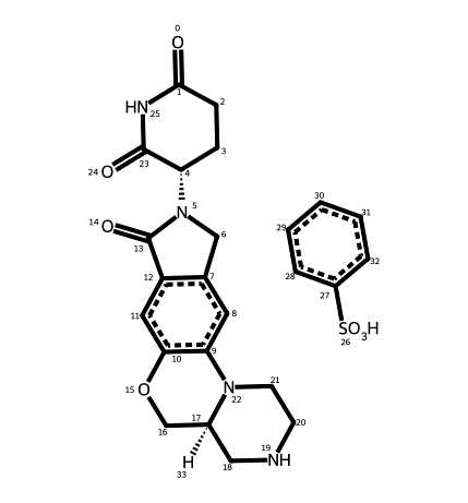 O=C1CC[C@H](N2Cc3cc4c(cc3C2=O)OC[C@@H]2CNCCN42)C(=O)N1.O=S(=O)(O)c1ccccc1